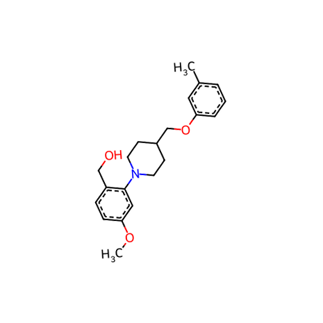 COc1ccc(CO)c(N2CCC(COc3cccc(C)c3)CC2)c1